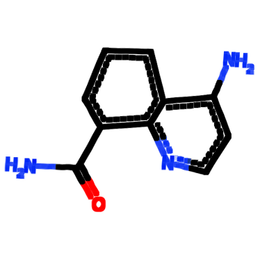 NC(=O)c1cccc2c(N)ccnc12